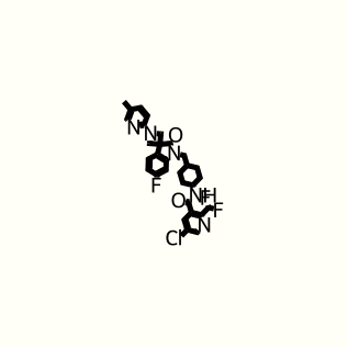 Cc1ccc(N2CC3(C2)C(=O)N(CC2CCC(NC(=O)c4cc(Cl)cnc4C(F)F)CC2)c2cc(F)ccc23)nc1